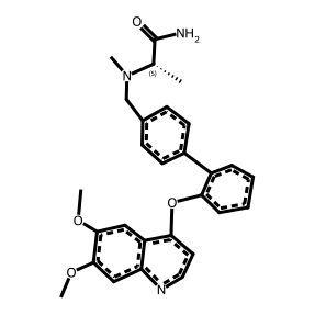 COc1cc2nccc(Oc3ccccc3-c3ccc(CN(C)[C@@H](C)C(N)=O)cc3)c2cc1OC